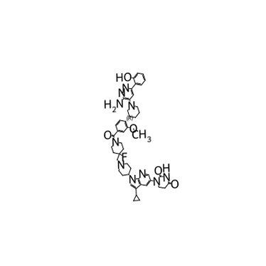 COc1cc(C(=O)N2CCC(F)(CN3CCC(n4cc(C5CC5)c5cc(N6CCC(=O)NC6=O)cnc54)CC3)CC2)ccc1[C@H]1CCCN(c2cc(-c3ccccc3O)nnc2N)C1